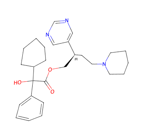 O=C(OC[C@H](CCN1CCCCC1)c1cncnc1)C(O)(c1ccccc1)C1CCCCC1